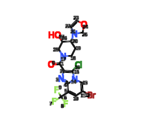 O=C(c1nc2c(C(F)(F)F)cc(Br)cn2c1Cl)N1CCC(N2C=COC2)C(O)C1